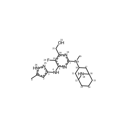 Cc1cc(Nc2nc(N(C)C3CC4CCCC(C3)N4)nc(CO)c2F)n[nH]1